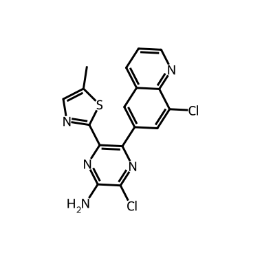 Cc1cnc(-c2nc(N)c(Cl)nc2-c2cc(Cl)c3ncccc3c2)s1